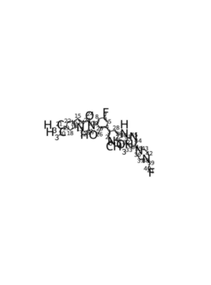 CN1C=C(c2cc(F)cc(N3CCn4c(cc5c4CC(C)(C)C5)C3=O)c2CO)C=C(Nc2ccc(N3CCN(CCF)CC3)cn2)C1O